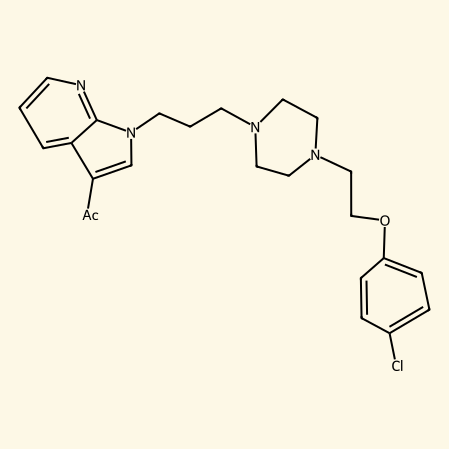 CC(=O)c1cn(CCCN2CCN(CCOc3ccc(Cl)cc3)CC2)c2ncccc12